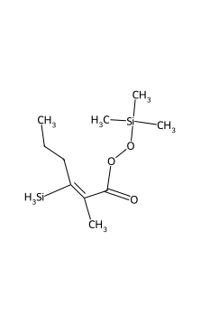 CCC/C([SiH3])=C(/C)C(=O)OO[Si](C)(C)C